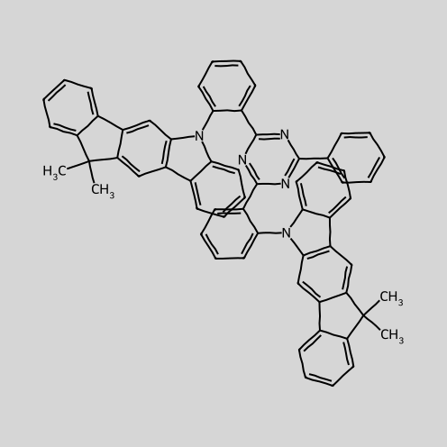 CC1(C)c2ccccc2-c2cc3c(cc21)c1ccccc1n3-c1ccccc1-c1nc(-c2ccccc2)nc(-c2ccccc2-n2c3ccccc3c3cc4c(cc32)-c2ccccc2C4(C)C)n1